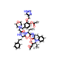 CC(C)C[C@H](NC(=O)[C@H](CCc1ccccc1)NC(=O)C[N+]1(Cc2ccc(OC(=O)C(C)C)c(OCc3c[nH]nn3)c2)CCOCC1)C(=O)N[C@@H](Cc1ccccc1)C(=O)N[C@@H](CC(C)C)C(=O)[C@@]1(C)CO1